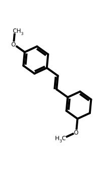 COc1ccc(/C=C/C2=CC(OC)CC=C2)cc1